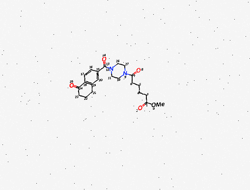 COC(=O)CCCCC(=O)N1CCN(C(=O)c2ccc3c(c2)CCCC3=O)CC1